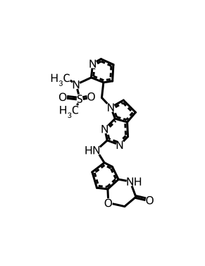 CN(c1ncccc1Cn1ccc2cnc(Nc3ccc4c(c3)NC(=O)CO4)nc21)S(C)(=O)=O